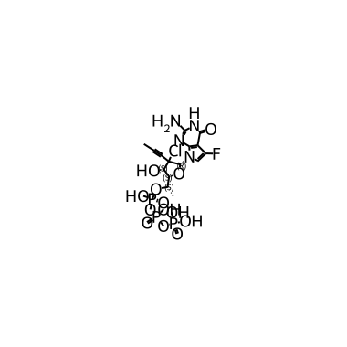 CC#CC1(Cl)[C@@H](O)[C@@H]([C@H](C)OP(=O)(O)OP(=O)(O)OP(=O)(O)O)O[C@H]1n1cc(F)c2c(=O)[nH]c(N)nc21